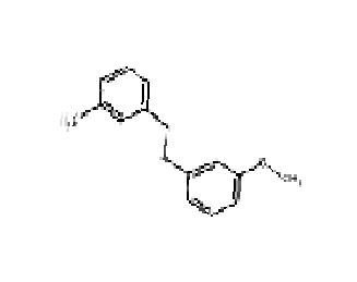 COc1cccc([CH]Cc2cccc(C)c2)c1